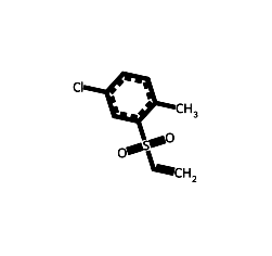 C=CS(=O)(=O)c1cc(Cl)ccc1C